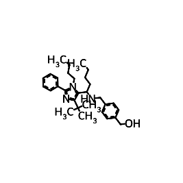 CCCCC(NCc1ccc(CO)cc1)c1c(C(C)(C)C)nc(-c2ccccc2)n1CCCC